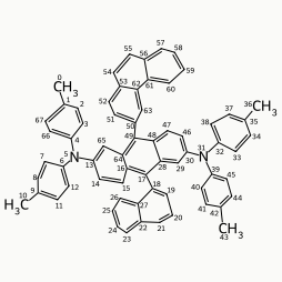 Cc1ccc(N(c2ccc(C)cc2)c2ccc3c(-c4cccc5ccccc45)c4cc(N(c5ccc(C)cc5)c5ccc(C)cc5)ccc4c(-c4ccc5ccc6ccccc6c5c4)c3c2)cc1